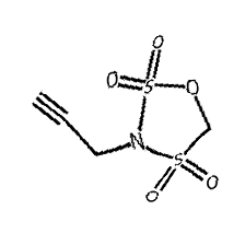 C#CCN1S(=O)(=O)COS1(=O)=O